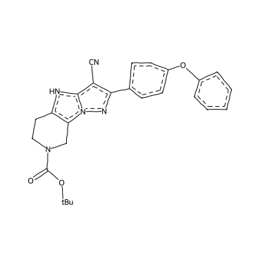 CC(C)(C)OC(=O)N1CCc2[nH]c3c(C#N)c(-c4ccc(Oc5ccccc5)cc4)nn3c2C1